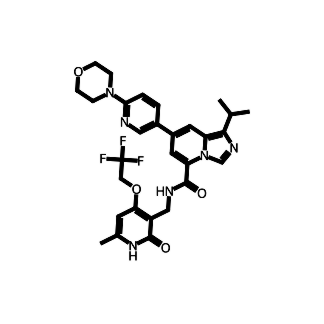 Cc1cc(OCC(F)(F)F)c(CNC(=O)c2cc(-c3ccc(N4CCOCC4)nc3)cc3c(C(C)C)ncn23)c(=O)[nH]1